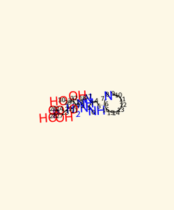 N=C(N)C(=C\C[C@@H]1/C=N\C=C/CCCCCC1)/N=C\NC1OC(COP(=O)(O)O)C(O)C1O